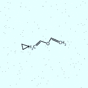 C1CC1.C=COC=C